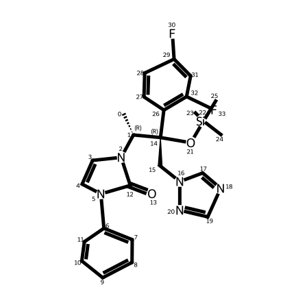 C[C@@H](n1ccn(-c2ccccc2)c1=O)[C@@](Cn1cncn1)(O[Si](C)(C)C)c1ccc(F)cc1F